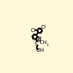 Cn1nc2c(-c3ccc(Cl)cc3Cl)cccc2c1SCCO